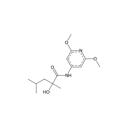 COc1cc(NC(=O)C(C)(O)CC(C)C)cc(OC)n1